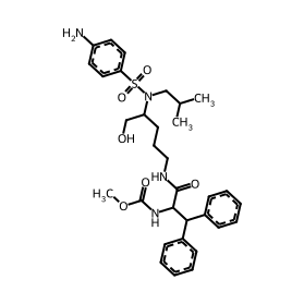 COC(=O)NC(C(=O)NCCCC(CO)N(CC(C)C)S(=O)(=O)c1ccc(N)cc1)C(c1ccccc1)c1ccccc1